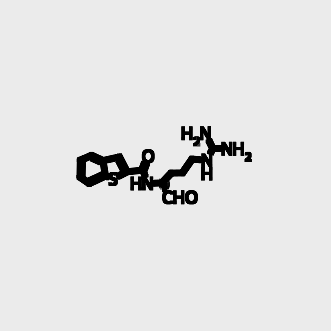 NC(N)NCCC[C@@H](C=O)NC(=O)c1cc2ccccc2s1